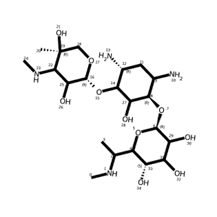 CNC(C)C1O[C@@H](O[C@@H]2C(N)C[C@@H](N)C(O[C@H]3OC[C@](C)(O)C(NC)C3O)C2O)C(O)C(O)[C@@H]1O